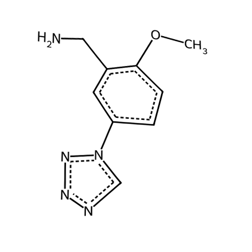 COc1ccc(-n2cnnn2)cc1CN